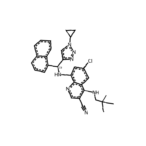 CC(C)(C)CNc1c(C#N)cnc2c(N[C@H](c3cn(C4CC4)nn3)c3cccc4ccccc34)cc(Cl)cc12